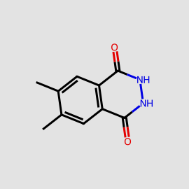 Cc1cc2c(=O)[nH][nH]c(=O)c2cc1C